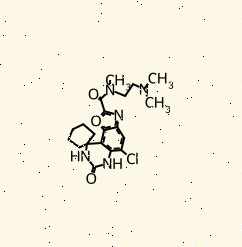 CN(C)CCN(C)C(=O)c1nc2cc(Cl)c3c(c2o1)C1(CCCCC1)NC(=O)N3